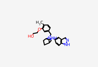 Cc1ccc(CN2CC3CCC2C3Nc2ccc3[nH]ncc3c2)cc1OCCO